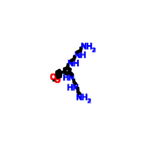 NCCCNCCCNCc1cc(CNCCCNCCCN)cc(-c2ccc3c(c2)OCO3)c1